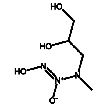 CN(CC(O)CO)[N+]([O-])=NO